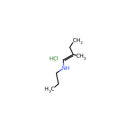 CCCN/C=C(\C)CC.Cl